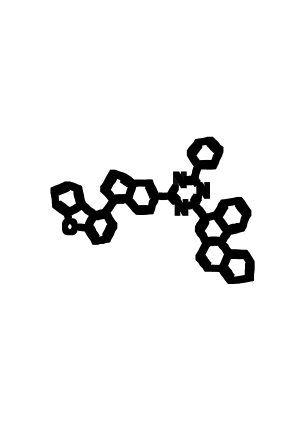 c1ccc(-c2nc(-c3ccc4c(-c5cccc6oc7ccccc7c56)cccc4c3)nc(-c3cc4ccc5ccccc5c4c4ccccc34)n2)cc1